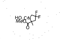 COC(=O)C1(C)CC(F)(F)CN1C(=O)O